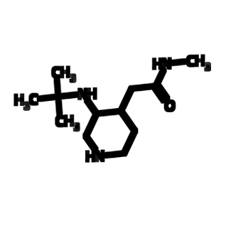 CNC(=O)CC1CCNCC1NC(C)(C)C